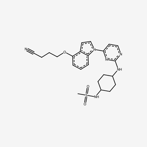 CS(=O)(=O)NC1CCC(Nc2nccc(-n3ccc4c(OCCCC#N)cccc43)n2)CC1